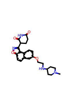 CN1CCC(NCCOc2ccc3c(ccc4onc(C5CCC(=O)NC5=O)c43)c2)CC1